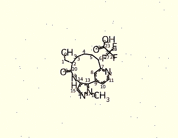 CCC1CCCCc2cc(ccn2)-c2c(cnn2C)NC1=O.O=C(O)C(F)(F)F